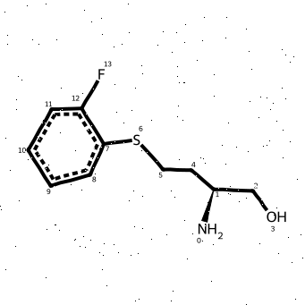 N[C@H](CO)CCSc1ccccc1F